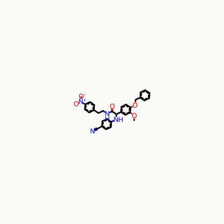 COc1cc(C(Nc2ccc(C#N)cc2)C(=O)NCCc2ccc([N+](=O)[O-])cc2)ccc1OCc1ccccc1